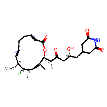 CO[C@H]1/C=C/CC/C=C/C(=O)O[C@@H]([C@@H](C)C(=O)C[C@H](O)CC2CC(=O)NC(=O)C2)/C(C)=C\[C@H](C)[C@H]1F